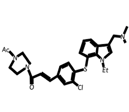 CCn1cc(CN(C)C)c2cccc(Sc3ccc(C=CC(=O)N4CCN(C(C)=O)CC4)cc3Cl)c21